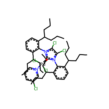 CCCC(CCC)c1cccc(C(CCC)CCC)c1-n1c(Cl)c(Cl)n(-c2c(C(CCC)CCC)cccc2C(CCC)CCC)[c]1=[Pd]([Cl])([Cl])[n+]1cccc(Cl)c1